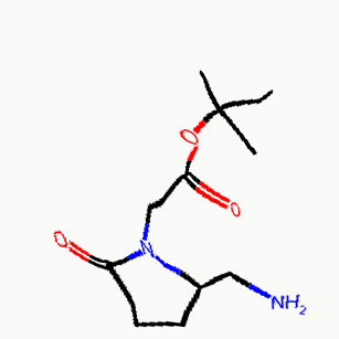 CC(C)(C)OC(=O)CN1C(=O)CCC1CN